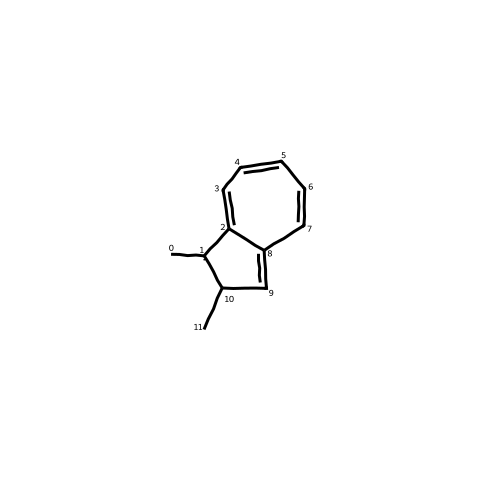 C[C]1C2=CC=CC=CC2=CC1C